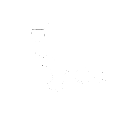 CC(=O)N1CCC(Cn2nnc(-c3ccccc3Nc3ccc(C(C)(P)P)cc3)n2)C1